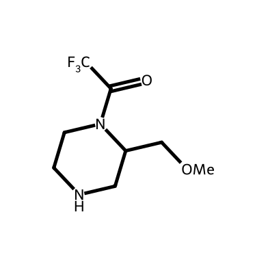 COCC1CNCCN1C(=O)C(F)(F)F